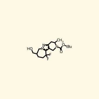 CC1Cc2nn3c(c2CN1C(=O)OC(C)(C)C)C(F)(F)CCC(CO)C3